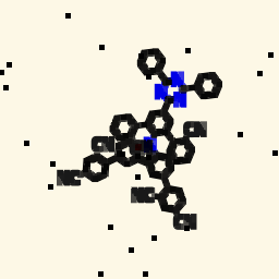 N#Cc1ccc(-c2ccc3c(c2)c2cc(-c4ccc(C#N)cc4C#N)ccc2n3-c2c(-c3ccccc3C#N)cc(-c3nc(-c4ccccc4)nc(-c4ccccc4)n3)cc2-c2ccccc2C#N)c(C#N)c1